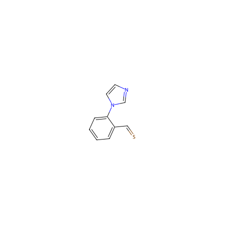 S=Cc1ccccc1-n1ccnc1